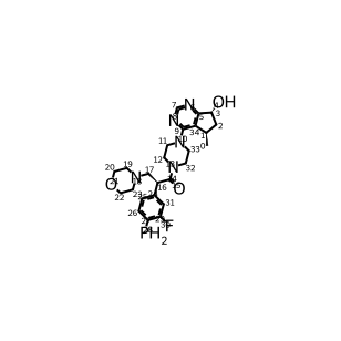 C[C@@H]1C[C@@H](O)c2ncnc(N3CCN(C(=O)[C@H](CN4CCOCC4)c4ccc(P)c(F)c4)CC3)c21